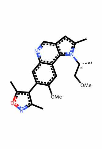 COC[C@@H](C)n1c(C)cc2cnc3cc(-c4c(C)noc4C)c(OC)cc3c21